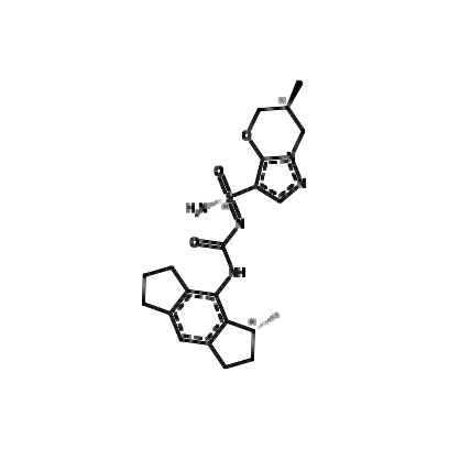 C[C@@H]1COc2c([S@](N)(=O)=NC(=O)Nc3c4c(cc5c3[C@H](C)CC5)CCC4)cnn2C1